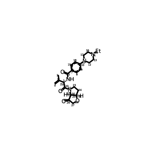 C=C(C)[C@H](NC(=O)c1ccc(N2CCN(CC)CC2)cc1)C(=O)N1CC[C@H]2OCC(=O)[C@H]21